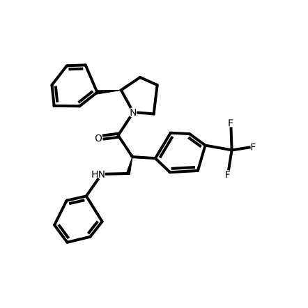 O=C([C@H](CNc1ccccc1)c1ccc(C(F)(F)F)cc1)N1CCC[C@@H]1c1ccccc1